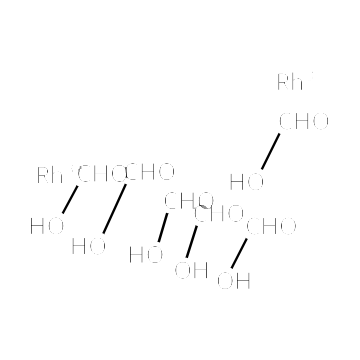 O=[C-]O.O=[C-]O.O=[C-]O.O=[C-]O.O=[C-]O.O=[C-]O.[Rh+3].[Rh+3]